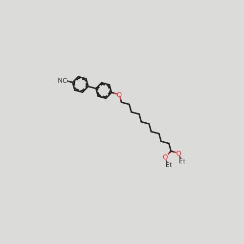 CCOC(CCCCCCCCCCOc1ccc(-c2ccc(C#N)cc2)cc1)OCC